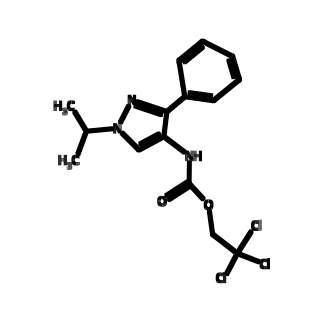 CC(C)n1cc(NC(=O)OCC(Cl)(Cl)Cl)c(-c2ccccc2)n1